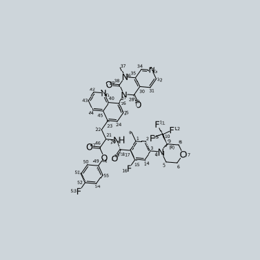 Cc1cc(N2CCOC[C@@H]2C(F)(F)F)cc(F)c1C(=O)NC(Cc1ccc(-n2c(=O)c3ccncc3n(C)c2=O)c2ncccc12)C(=O)Oc1ccc(F)cc1